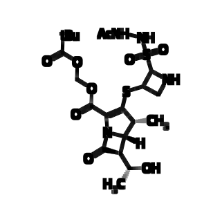 CC(=O)NNS(=O)(=O)C1NCC1SC1=C(C(=O)OCOC(=O)C(C)(C)C)N2C(=O)[C@H]([C@@H](C)O)[C@H]2[C@H]1C